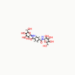 O=C(NC1O[C@H](CO)[C@H](O)[C@H](O)[C@H]1O)c1ccc(C(=O)NC2O[C@H](CO)[C@H](O)[C@H](O)[C@H]2O)cc1